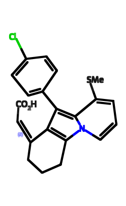 CSc1cccn2c3c(c(-c4ccc(Cl)cc4)c12)/C(=C\C(=O)O)CCC3